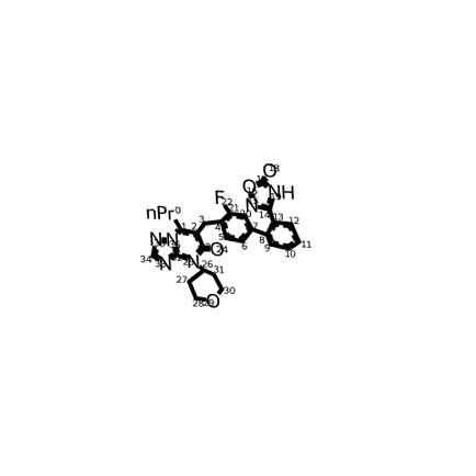 CCCc1c(Cc2ccc(-c3ccccc3-c3noc(=O)[nH]3)cc2F)c(=O)n(C2CCOCC2)c2ncnn12